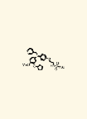 CCCCS(=O)(=O)NCCOc1ccc(N(Cc2cccnc2)c2ccc(OC)c(OC3CCCC3)c2)cc1